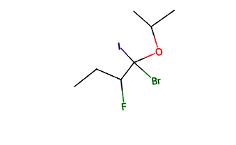 CCC(F)C(Br)(I)OC(C)C